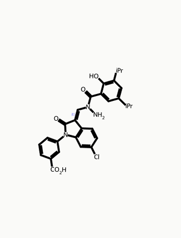 CC(C)c1cc(C(=O)N(N)/C=C2/C(=O)N(c3cccc(C(=O)O)c3)c3cc(Cl)ccc32)c(O)c(C(C)C)c1